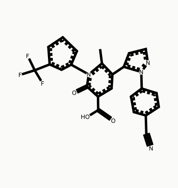 Cc1c(-c2ccnn2-c2ccc(C#N)cc2)cc(C(=O)O)c(=O)n1-c1cccc(C(F)(F)F)c1